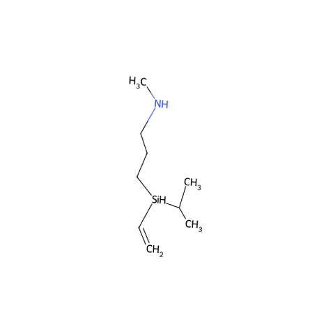 C=C[SiH](CCCNC)C(C)C